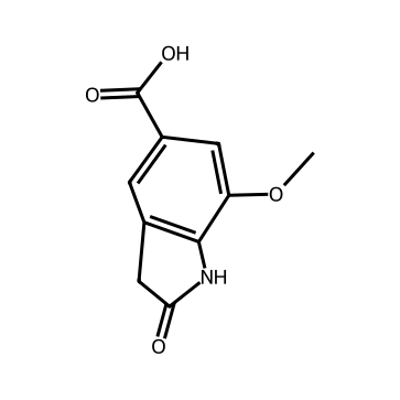 COc1cc(C(=O)O)cc2c1NC(=O)C2